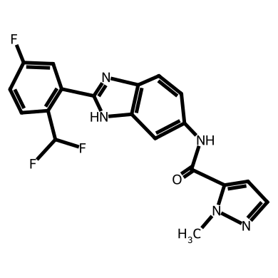 Cn1nccc1C(=O)Nc1ccc2nc(-c3cc(F)ccc3C(F)F)[nH]c2c1